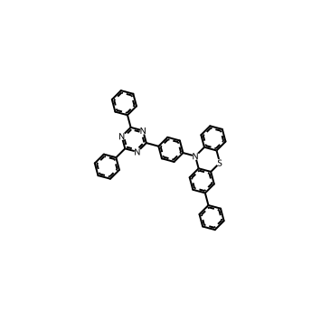 c1ccc(-c2ccc3c(c2)Sc2ccccc2N3c2ccc(-c3nc(-c4ccccc4)nc(-c4ccccc4)n3)cc2)cc1